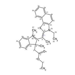 CCOC(=O)CC1(C)C(/C(C)=C2\Sc3c(ccc4ccccc34)N2CC)=[N+](C)c2ccccc21